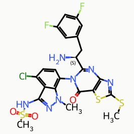 CSc1nc2nc([C@@H](N)Cc3cc(F)cc(F)c3)n(-c3ccc(Cl)c4c(NS(C)(=O)=O)nn(C)c34)c(=O)c2s1